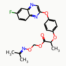 CC(C)=NOCOC(=O)C(C)Oc1ccc(Oc2cnc3cc(F)ccc3n2)cc1